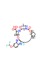 C[C@H]1CC[C@H]2OC(=O)N[C@@H](C(C)(C)C)C(=O)N3C[C@@H](C[C@H]3C(=O)O)Oc3nc4cc(OC(F)F)ccc4nc3C(F)(F)CCCC[C@H]12